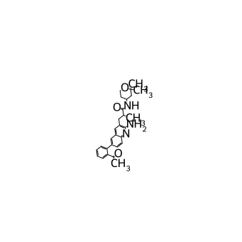 CC(=O)c1ccccc1-c1ccc2nc(N)c(CC(C)C(=O)NC3CCOC(C)(C)C3)cc2c1